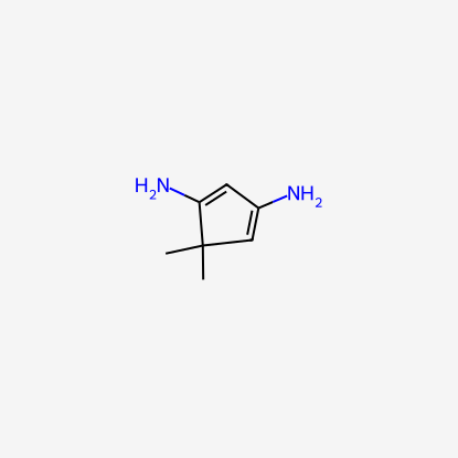 CC1(C)C=C(N)C=C1N